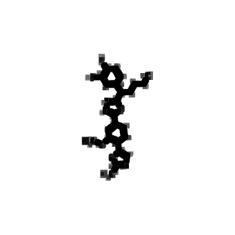 COc1cc(-c2nnc(C(CCCCl)c3ccc(F)c(F)c3)o2)ccc1-c1cnc(C)o1